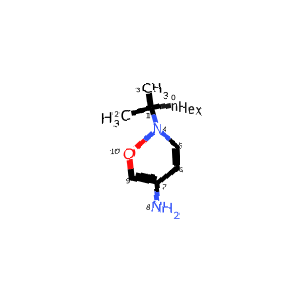 CCCCCCC(C)(C)N1C=CC(N)=CO1